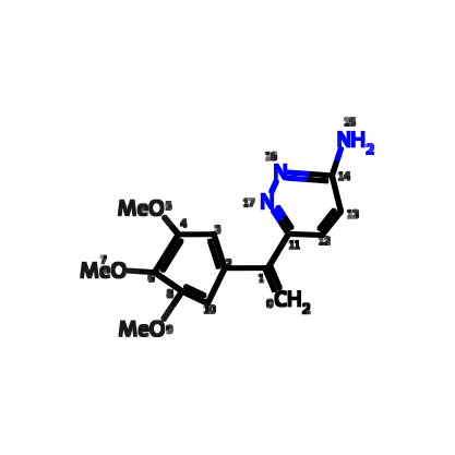 C=C(c1cc(OC)c(OC)c(OC)c1)c1ccc(N)nn1